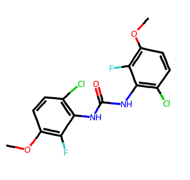 COc1ccc(Cl)c(NC(=O)Nc2c(Cl)ccc(OC)c2F)c1F